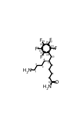 NCCCC[C@H](CCCCC(N)=O)Cc1c(F)c(F)c(F)c(F)c1F